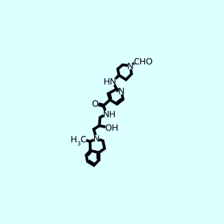 CC1c2ccccc2CCN1CC(O)CNC(=O)c1ccnc(NC2CCN(C=O)CC2)c1